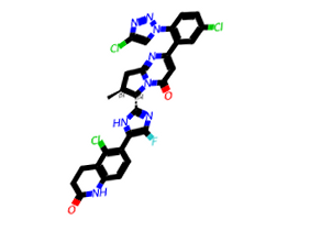 C[C@H]1Cc2nc(-c3cc(Cl)ccc3-n3cc(Cl)nn3)cc(=O)n2[C@@H]1c1nc(F)c(-c2ccc3c(c2Cl)CCC(=O)N3)[nH]1